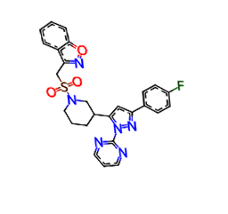 O=S(=O)(Cc1noc2ccccc12)N1CCCC(c2cc(-c3ccc(F)cc3)nn2-c2ncccn2)C1